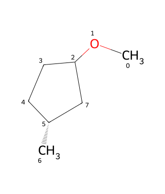 COC1CC[C@@H](C)C1